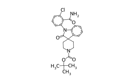 CC(C)(C)OC(=O)N1CCC2(CC1)C(=O)N(c1cccc(Cl)c1C(N)=O)c1ccccc12